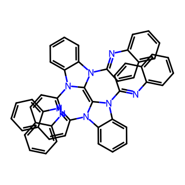 c1ccc2c(c1)N(c1ccc3ccccc3n1)C(=C1N(c3ccc4ccccc4n3)c3ccccc3N1c1ccc3ccccc3n1)N2c1ccc2ccccc2n1